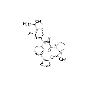 CC(C)c1ccc([C@@H](NC(=O)[C@@H]2CCC[C@@H]2C(=O)O)c2cccc(-c3cnco3)c2)nc1F